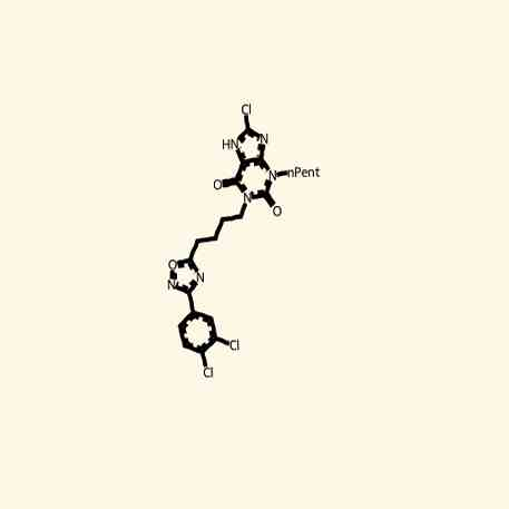 CCCCCn1c(=O)n(CCCCc2nc(-c3ccc(Cl)c(Cl)c3)no2)c(=O)c2[nH]c(Cl)nc21